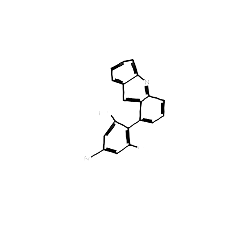 Cc1cc(Br)cc(C)c1-c1cccc2nc3ccccc3cc12